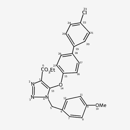 CCOC(=O)c1nnn(Cc2ccc(OC)cc2)c1Oc1ccc(-c2ccc(Cl)cc2)cc1